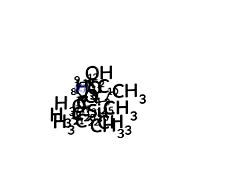 CC(C)CC(OC(=O)/C=C\C(=O)O)[Si](C(C)C)(C(C)C)C(C)C